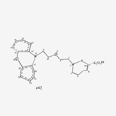 Cl.O=C(O)[C@@H]1CCCN(CCOCCN2c3ccccc3Oc3ccccc32)C1